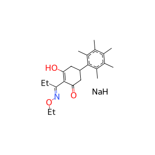 CCON=C(CC)C1=C(O)CC(c2c(C)c(C)c(C)c(C)c2C)CC1=O.[NaH]